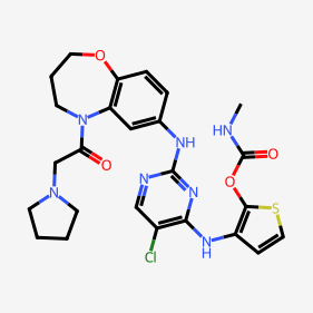 CNC(=O)Oc1sccc1Nc1nc(Nc2ccc3c(c2)N(C(=O)CN2CCCC2)CCCO3)ncc1Cl